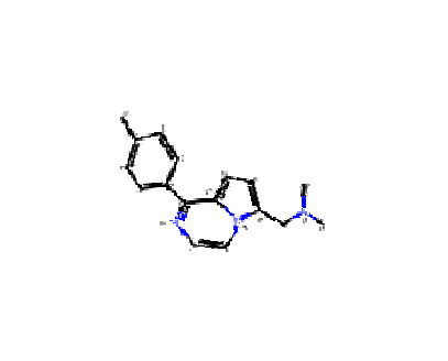 Cc1ccc(-c2nccn3c(CN(C)C)ccc23)cc1